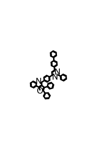 c1ccc(-c2ccc(-c3cc(-c4ccc(-c5nc6ccccc6c6oc(-c7ccccc7)c(-c7ccccc7)c56)cc4)nc(-c4ccccc4)n3)cc2)cc1